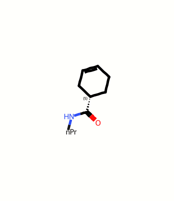 CCCNC(=O)[C@@H]1CC=CCC1